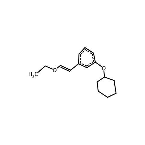 CCOC=Cc1cccc(OC2CCCCC2)c1